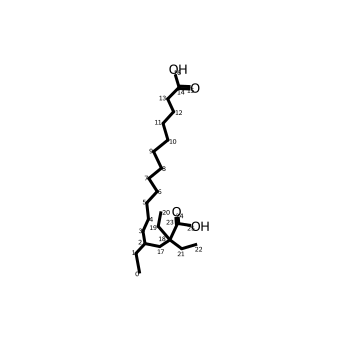 CCC(CCCCCCCCCCCC(=O)O)CC(CC)(CC)C(=O)O